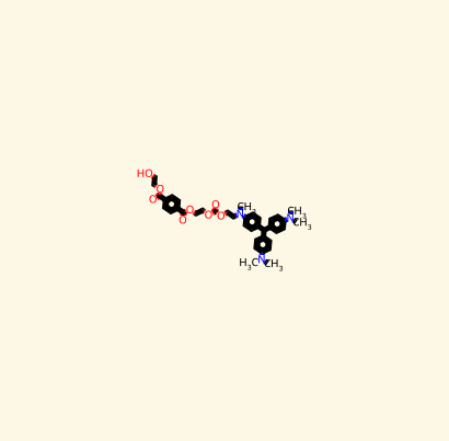 CN(C)c1ccc(C(c2ccc(N(C)C)cc2)c2ccc(N(C)CCOC(=O)OCCOC(=O)c3ccc(C(=O)OCCO)cc3)cc2)cc1